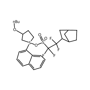 CCCCOC1CCS(OS(=O)(=O)C(F)(F)C(F)(F)C2CC3CCC2C3)(c2cccc3ccccc23)C1